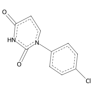 O=c1ccn(-c2ccc(Cl)cc2)c(=O)[nH]1